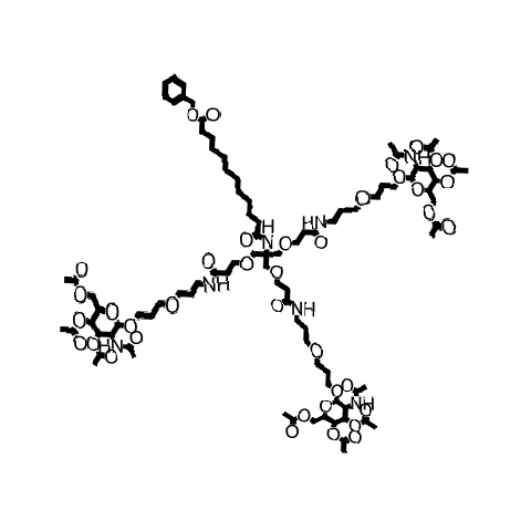 CC(=O)NC1C(OCCCOCCCNC(=O)CCOCC(COCCC(=O)NCCCOCCCOC2OC(COC(C)=O)C(OC(C)=O)C(OC(C)=O)C2NC(C)=O)(COCCC(=O)NCCCOCCCOC2OC(COC(C)=O)C(OC(C)=O)C(OC(C)=O)C2NC(C)=O)NC(=O)CCCCCCCCCCC(=O)OCc2ccccc2)OC(COC(C)=O)C(OC(C)=O)C1OC(C)=O